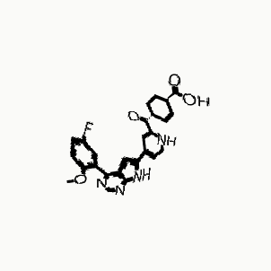 COc1ccc(F)cc1-c1ncnc2[nH]c(C3=CCNC(C(=O)[C@H]4CC[C@H](C(=O)O)CC4)C3)cc12